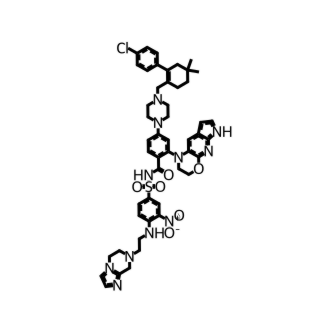 CC1(C)CCC(CN2CCN(c3ccc(C(=O)NS(=O)(=O)c4ccc(NCCN5CCn6ccnc6C5)c([N+](=O)[O-])c4)c(N4CCOc5nc6[nH]ccc6cc54)c3)CC2)=C(c2ccc(Cl)cc2)C1